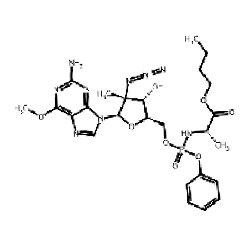 CCCCOC(=O)[C@H](C)NP(=O)(OC[C@H]1O[C@@H](n2cnc3c(OC)nc(N)nc32)[C@](C)(N=[N+]=[N-])[C@@H]1O)Oc1ccccc1